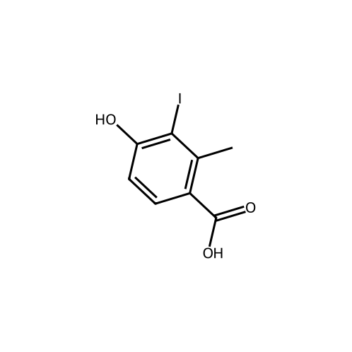 Cc1c(C(=O)O)ccc(O)c1I